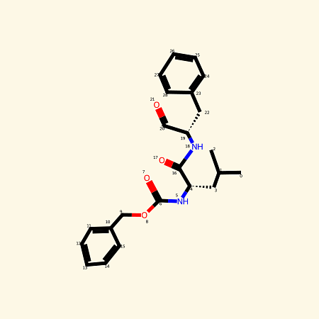 CC(C)C[C@H](NC(=O)OCc1ccccc1)C(=O)N[C@H]([C]=O)Cc1ccccc1